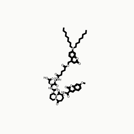 CCCCCCCCN(CCCCCCCC)c1ccc2c(COC(=O)CCCC(=O)NNC(=O)[C@H](CC(=O)O)NC(=O)[C@@H]3CCCN4C(=O)CC[C@H](NC(=O)c5cc6ccc(OC)cc6oc5=O)C(=O)N34)cc(=O)oc2c1